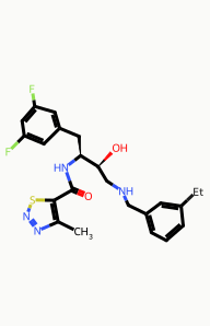 CCc1cccc(CNC[C@H](O)[C@H](Cc2cc(F)cc(F)c2)NC(=O)c2snnc2C)c1